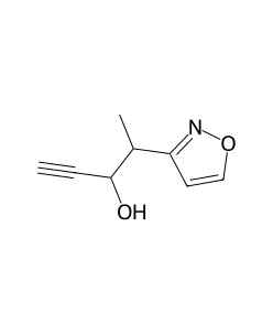 C#CC(O)C(C)c1ccon1